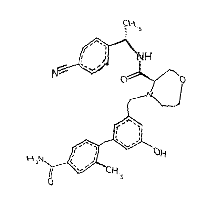 Cc1cc(C(N)=O)ccc1-c1cc(O)cc(CN2CCOC[C@@H]2C(=O)N[C@@H](C)c2ccc(C#N)cc2)c1